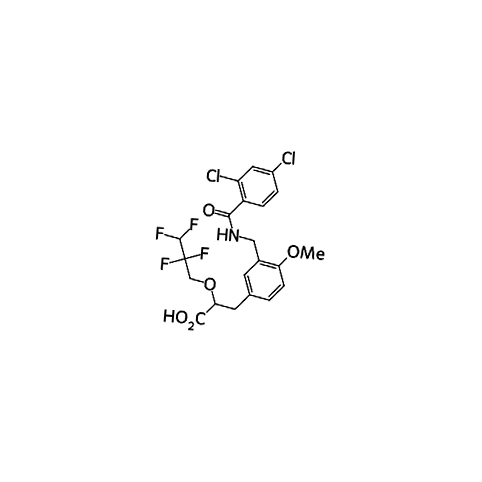 COc1ccc(CC(OCC(F)(F)C(F)F)C(=O)O)cc1CNC(=O)c1ccc(Cl)cc1Cl